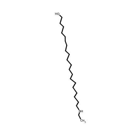 CCNCCCCCCCCCCCCCCCCCCCCO